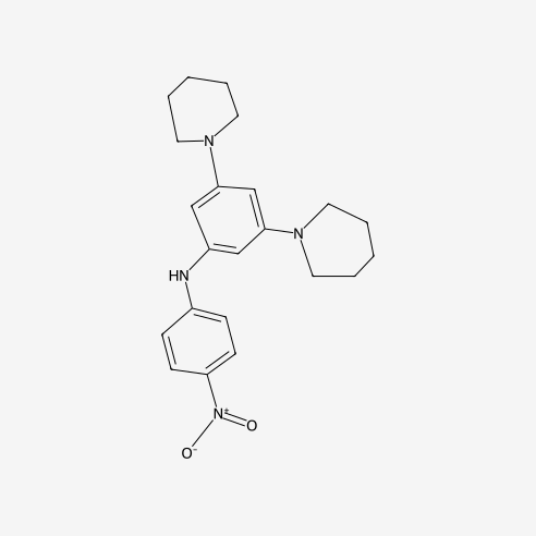 O=[N+]([O-])c1ccc(Nc2cc(N3CCCCC3)cc(N3CCCCC3)c2)cc1